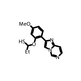 CCC(S)Oc1cc(OC)ccc1-c1cn2cnccc2n1